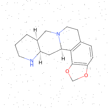 c1cc2c(c3c1CCN1C[C@@H]4CCCN[C@@H]4C[C@H]31)OCO2